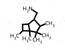 CC1C(CN)C2CC(C)C2(C)C1(C)C